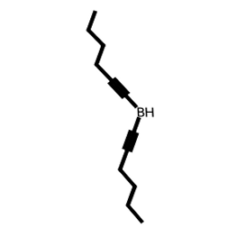 CCCCC#CBC#CCCCC